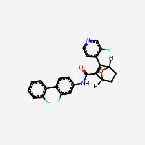 O=C(Nc1ccc(-c2ccccc2F)c(F)c1)C1=C(c2ccncc2F)[C@@H]2CC[C@H]1O2